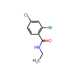 CCNC(=O)c1ccc(Cl)cc1Br